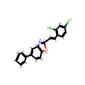 Fc1ccc(C=Cc2nc3cc(-c4ccccc4)ccc3o2)c(F)c1